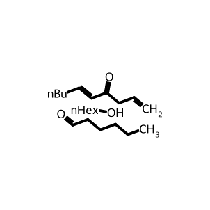 C=CCC(=O)C=CCCCC.CCCCCC=O.CCCCCCO